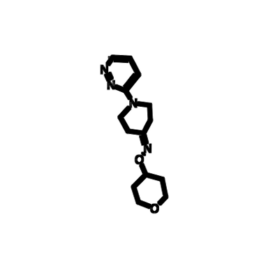 [c]1ccc(N2CCC(=NOC3CCOCC3)CC2)nn1